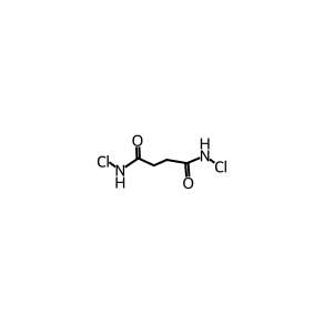 O=C(CCC(=O)NCl)NCl